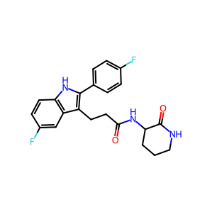 O=C(CCc1c(-c2ccc(F)cc2)[nH]c2ccc(F)cc12)NC1CCCNC1=O